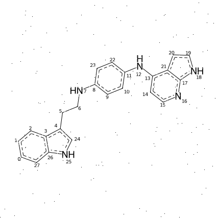 c1ccc2c(CCNc3ccc(Nc4ccnc5[nH]ccc45)cc3)c[nH]c2c1